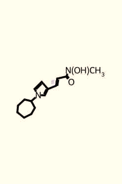 CN(O)C(=O)/C=C/c1ccn(C2CCCCCC2)c1